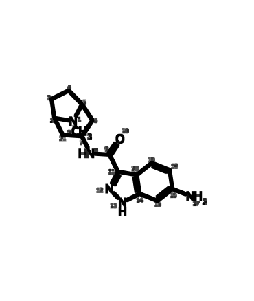 CN1C2CCC1CC(NC(=O)c1n[nH]c3cc(N)ccc13)C2